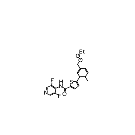 CCOOCc1ccc(C)c(-c2ccc(C(=O)Nc3c(F)cncc3F)s2)c1